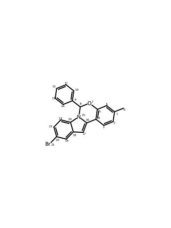 Cc1ccc2c(c1)OC(c1ccccc1)n1c-2cc2cc(Br)ccc21